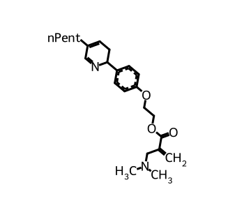 C=C(CN(C)C)C(=O)OCCOc1ccc(C2CC=C(CCCCC)C=N2)cc1